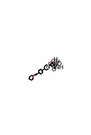 CC(O)C1(CC(=O)N2CCC(c3ccc(C#Cc4ccccc4)cc3)CC2)NC(=O)NC1=O